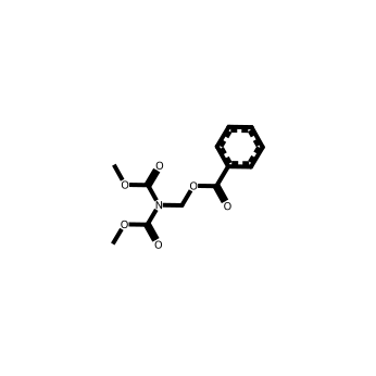 COC(=O)N(COC(=O)c1ccccc1)C(=O)OC